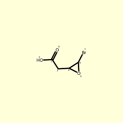 O=C(O)CC1OC1Br